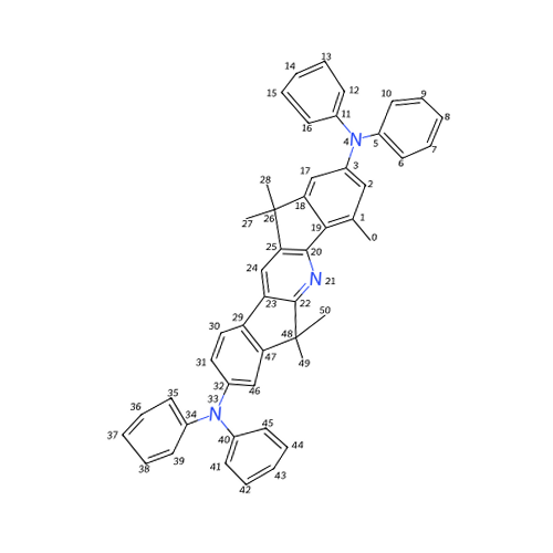 Cc1cc(N(c2ccccc2)c2ccccc2)cc2c1-c1nc3c(cc1C2(C)C)-c1ccc(N(c2ccccc2)c2ccccc2)cc1C3(C)C